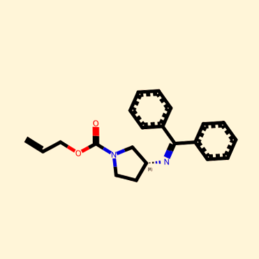 C=CCOC(=O)N1CC[C@@H](N=C(c2ccccc2)c2ccccc2)C1